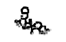 CO[C@]1(NC(=O)C(CC2=CCC=CC2)NC(N)=O)C(=O)N2C(C(=O)O)=C(COC(C)=O)CS[C@@H]21